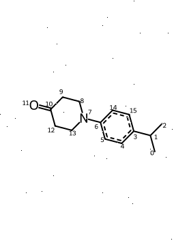 CC(C)c1ccc(N2CCC(=O)CC2)cc1